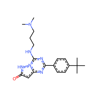 CN(C)CCCNc1nc(-c2ccc(C(C)(C)C)cc2)nc2cc(=O)[nH]n12